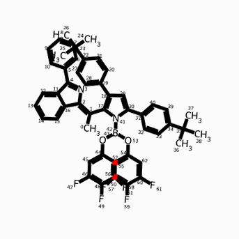 C/C(=C1/N=C(c2ccccc2)c2ccccc21)c1c(-c2ccc(C(C)(C)C)cc2)cc(-c2ccc(C(C)(C)C)cc2)n1B(Oc1cc(F)c(F)c(F)c1)Oc1cc(F)c(F)c(F)c1